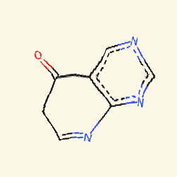 O=C1CC=Nc2ncncc21